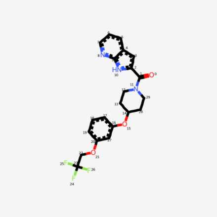 O=C(c1cc2cccnc2[nH]1)N1CCC(Oc2cccc(OCC(F)(F)F)c2)CC1